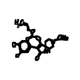 C=CCOC(=O)OC1=C(c2ccc(Cl)c(Cl)c2)C(=O)NC12CCN(OC)CC2